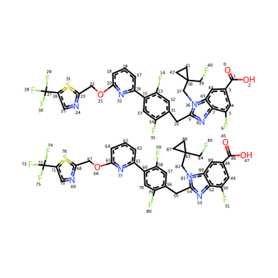 O=C(O)c1cc(F)c2nc(Cc3cc(F)c(-c4cccc(OCc5ncc(C(F)(F)F)s5)n4)cc3F)n(CC3(CF)CC3)c2c1.O=C(O)c1cc(F)c2nc(Cc3cc(F)c(-c4cccc(OCc5ncc(C(F)(F)F)s5)n4)cc3F)n(CC3(CF)CC3)c2c1